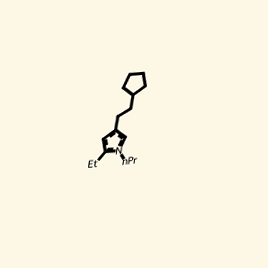 CCCn1cc(CCC2CCCC2)cc1CC